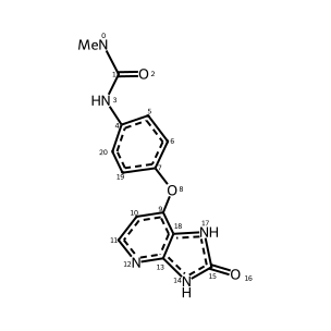 CNC(=O)Nc1ccc(Oc2ccnc3[nH]c(=O)[nH]c23)cc1